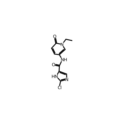 CCn1cc(NC(=O)c2cnc(Cl)[nH]2)ccc1=O